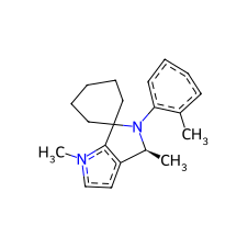 Cc1ccccc1N1[C@@H](C)c2ccn(C)c2C12CCCCC2